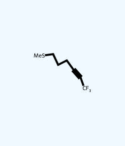 [CH2]SCCCC#CC(F)(F)F